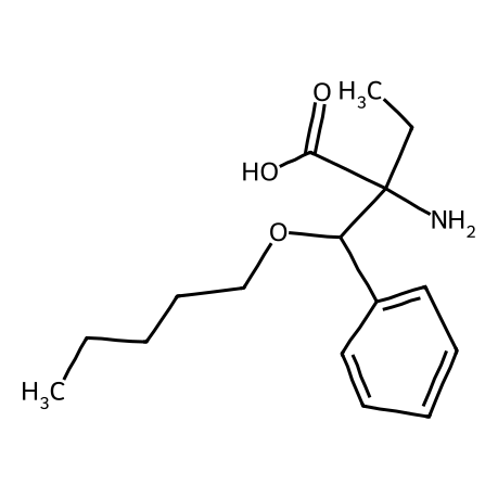 CCCCCOC(c1ccccc1)C(N)(CC)C(=O)O